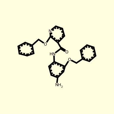 Nc1ccc(NC(=O)c2cccnc2OCc2ccccc2)c(OCc2ccccc2)c1